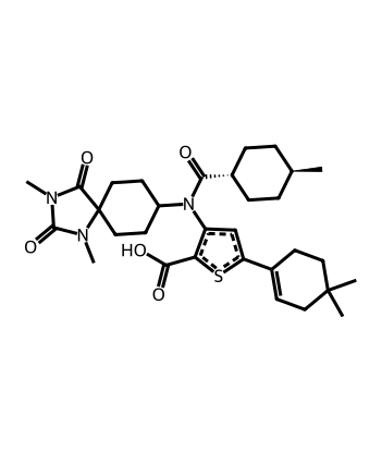 CN1C(=O)N(C)C2(CCC(N(c3cc(C4=CCC(C)(C)CC4)sc3C(=O)O)C(=O)[C@H]3CC[C@H](C)CC3)CC2)C1=O